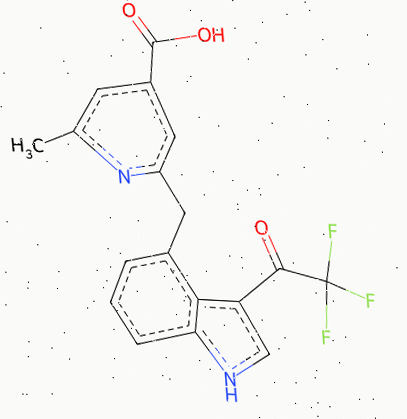 Cc1cc(C(=O)O)cc(Cc2cccc3[nH]cc(C(=O)C(F)(F)F)c23)n1